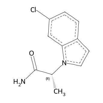 C[C@H](C(N)=O)n1ccc2ccc(Cl)cc21